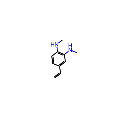 C=Cc1ccc(NC)c(NC)c1